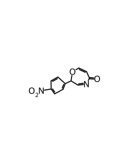 O=C1C=COC(c2ccc([N+](=O)[O-])cc2)C=N1